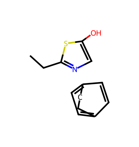 CCc1ncc(O)s1.c1cc2ccc1CC2